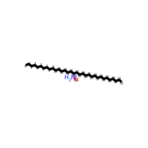 CCCCCCCCCCCCCCCCC(CCCCCCCCCCCCCCCC)[NH2+][O-]